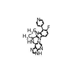 C[C@H](Nc1ncnc2[nH]cnc12)c1nc2ccc(F)c(-c3ccncc3)c2n1C